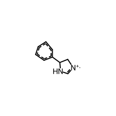 C1=[N+]CC(c2ccccc2)N1